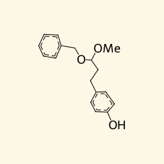 COC(CCc1ccc(O)cc1)OCc1ccccc1